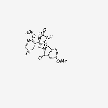 CCCCOC1=C([C@]2(CN3Cc4ccc(OC)cc4C3=O)NC(=O)NC2=O)C[C@@H](C)C=N1